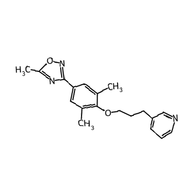 Cc1nc(-c2cc(C)c(OCCCc3cccnc3)c(C)c2)no1